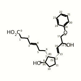 O=C(O)CCC=CCC[C@H]1[C@H](O)CC[C@H]1C=CC(O)COc1ccccc1